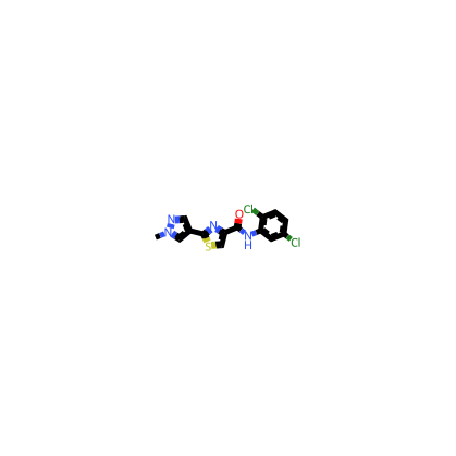 Cn1cc(-c2nc(C(=O)Nc3cc(Cl)ccc3Cl)cs2)cn1